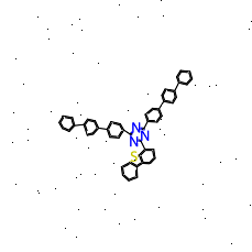 c1ccc(-c2ccc(-c3ccc(-c4nc(-c5ccc(-c6ccc(-c7ccccc7)cc6)cc5)nc(-c5cccc6c5sc5ccccc56)n4)cc3)cc2)cc1